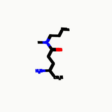 COCCN(C)C(=O)CCC(N)C(=O)O